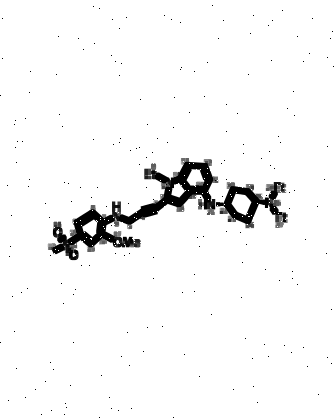 CCn1c(C#CCNc2ccc(S(C)(=O)=O)cc2OC)cc2c(N[C@H]3CC[C@H](N(CC)CC)CC3)cccc21